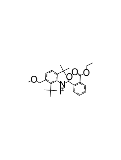 CCOC(=O)c1ccccc1C(=O)N(F)c1c(C(C)(C)C)ccc(COC)c1C(C)(C)C